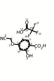 N#CCOc1ccc(C(=O)O)c(O)c1.O=C(O)C(F)(F)F